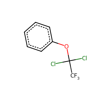 FC(F)(F)C(Cl)(Cl)Oc1ccccc1